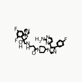 Nc1nccc(-c2c(-c3ccc(F)cc3)ncn2C2CCN(C(=O)CCNC[C@@](O)(Cn3cncn3)c3ccc(F)cc3F)CC2)n1